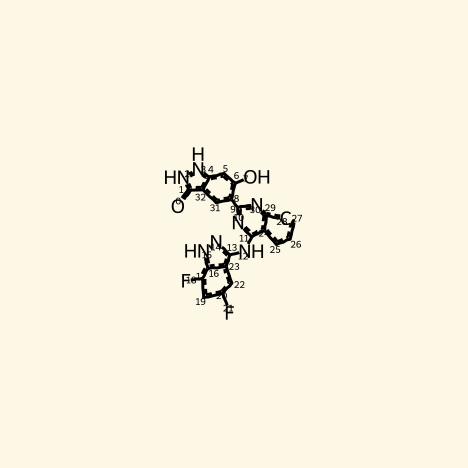 O=c1[nH][nH]c2cc(O)c(-c3nc(Nc4n[nH]c5c(F)cc(F)cc45)c4ccccc4n3)cc12